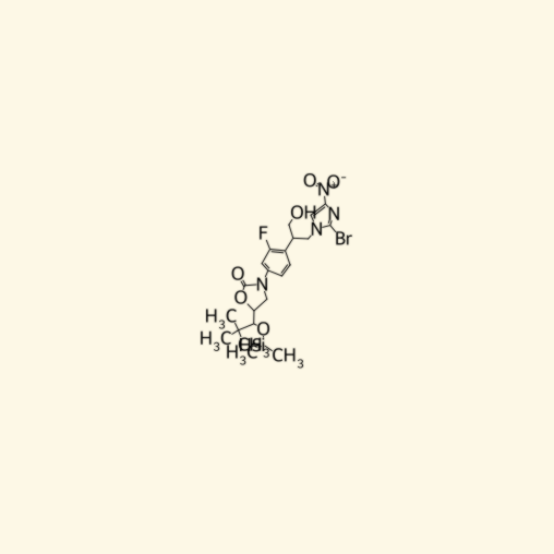 C[SiH](C)OC(C1CN(c2ccc(C(CO)Cn3cc([N+](=O)[O-])nc3Br)c(F)c2)C(=O)O1)C(C)(C)C